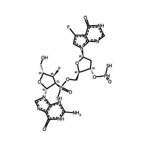 Nc1nc2c(ncn2[C@@H]2O[C@H](CO)[C@@H](F)[C@H]2P(=O)(S)OC[C@H]2O[C@@H](n3cc(F)c4c(=O)[nH]cnc43)C[C@@H]2O[PH](=O)S)c(=O)[nH]1